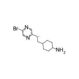 NC1CCC(C[CH]c2cnc(Br)cn2)CC1